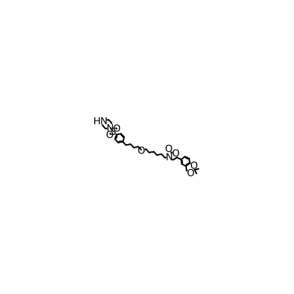 CC1(C)OCc2cc(C3CN(CCCCCCOCCCCc4ccc(S(=O)(=O)N5CCNCC5)cc4)C(=O)O3)ccc2O1